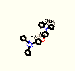 C[Si]1(C)c2cc(-c3nc(-c4ccccc4)nc(-c4ccccc4)n3)ccc2Oc2ccc(N3c4ccccc4[Si](C)(C)c4ccccc43)cc21